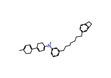 CC1=CC=C(C2=CC=C(N(C)c3cccc(CCCCCCCc4ccc5c(c4)CC5)c3)CC2)CC1